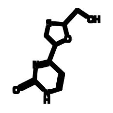 O=c1nc(C2CSC(CO)O2)cc[nH]1